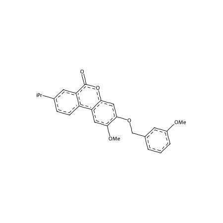 COc1cccc(COc2cc3oc(=O)c4cc(C(C)C)ccc4c3cc2OC)c1